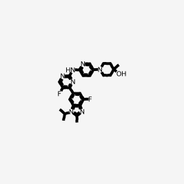 Cc1nc2c(F)cc(-c3nc(Nc4ccc(N5CCC(C)(O)CC5)cn4)ncc3F)cc2n1C(C)C